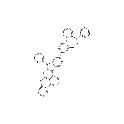 c1ccc([C@@H]2CCc3cc(-c4ccc5c6c7cccc8c7c(cc6n(-c6ccccc6)c5c4)Sc4ccccc4-8)ccc3-c3ccccc32)cc1